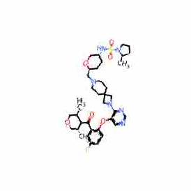 C[C@@H]1COC[C@@H](C)C1C(=O)c1cc(F)ccc1Oc1cncnc1N1CC2(CCN(C[C@@H]3CC[C@@H](NS(=O)(=O)N4CCC[C@H]4C)CO3)CC2)C1